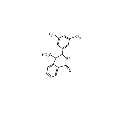 O=C1NC(c2cc(C(F)(F)F)cc(C(F)(F)F)c2)C(C(=O)O)c2ccccc21